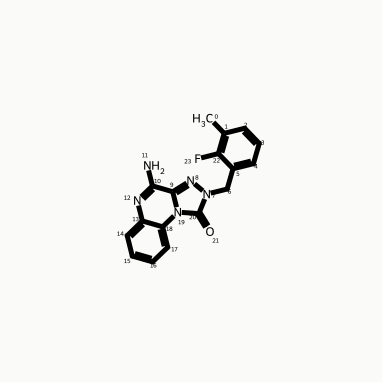 Cc1cccc(Cn2nc3c(N)nc4ccccc4n3c2=O)c1F